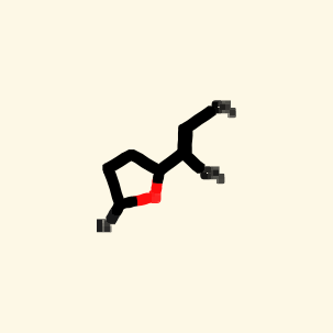 CC=C(C)C1CCC(CC)O1